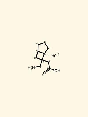 Cl.NCC1(CC(=O)O)CC2CCCC21